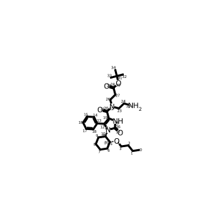 CCCCO[C@@H]1CCCC[C@H]1n1c(-c2ccccc2)c(C(=O)N(CCN)CCC(=O)OC(C)(C)C)[nH]c1=O